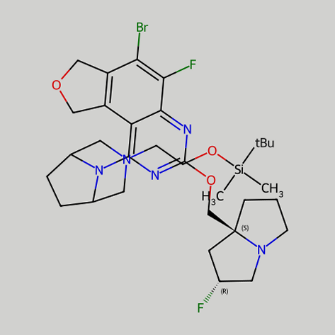 CC(C)(C)[Si](C)(C)OCCN1CC2CCC(C1)N2c1nc(OC[C@@]23CCCN2C[C@H](F)C3)nc2c(F)c(Br)c3c(c12)COC3